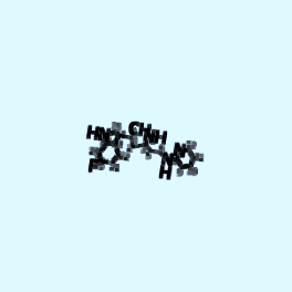 CC(CC(=N)CCNc1ccccn1)c1c[nH]c2cc(F)ccc12